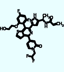 C=CC(=O)N[C@H](C)c1cc(-c2nc(-c3ccn(CC(F)F)c(=O)c3)c3ccsc3c2-c2c(F)cc(F)cc2OCCO)n[nH]1